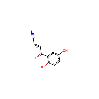 N#C/C=C/C(=O)c1cc(O)ccc1O